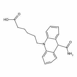 NC(=O)C1c2ccccc2N(CCCCCC(=O)O)c2ccccc21